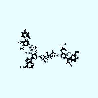 CCNC(=O)C[C@@H]1[C@@H](COP(=O)(O)OP(=O)(O)OP(=O)(O)OC[C@H]2O[C@@H](n3cnc4c(N)ncnc43)[C@H](OC)[C@@H]2OP(=O)([O-])OC[C@H]2O[C@@H](n3ccc(=O)[nH]c3=O)[C@H](O)[C@@H]2O)OC(n2c[n+](C)c3c(=O)[nH]c(N)nc32)[C@@H]1O